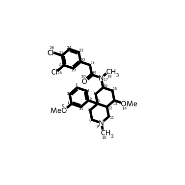 COc1cccc(C23CCN(C)CC2C(OC)CC(N(C)C(=O)Cc2ccc(Cl)c(Cl)c2)C3)c1